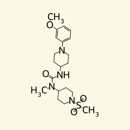 COc1cccc(N2CCC(NC(=O)N(C)C3CCN(S(C)(=O)=O)CC3)CC2)c1